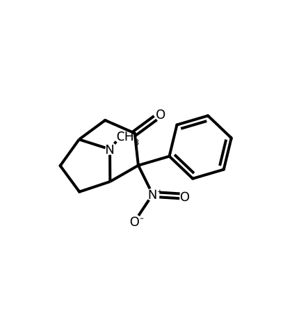 CN1C2CCC1C(c1ccccc1)([N+](=O)[O-])C(=O)C2